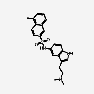 Cc1cccc2cc(S(=O)(=O)Nc3ccc4[nH]cc(CCN(C)C)c4c3)ccc12